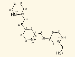 SC[C@H]1CC(SC[C@@H]2CC(SCC3CCCCN3)CCN2)CCN1